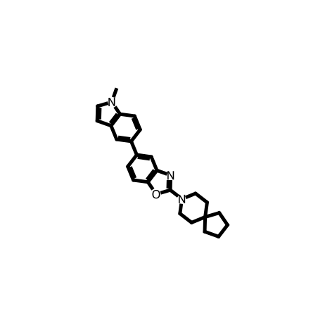 Cn1ccc2cc(-c3ccc4oc(N5CCC6(CCCC6)CC5)nc4c3)ccc21